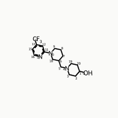 OC1CCN(CC2CCCN(c3cc(C(F)(F)F)ccn3)C2)CC1